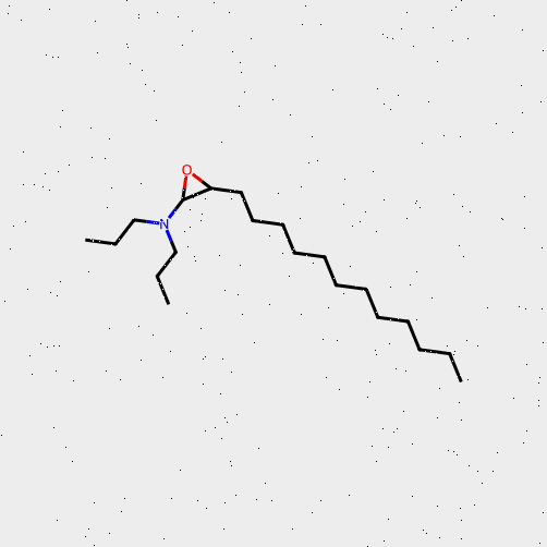 CCCCCCCCCCCCC1OC1N(CCC)CCC